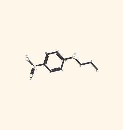 CC[CH]Oc1ccc([N+](=O)[O-])cc1